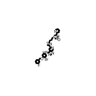 O=S(=O)=CN(CCCc1nc(-c2cc3c(Nc4ccc(OCc5cccc(F)c5)c(Br)c4)ncnc3cn2)cs1)CCc1ccccn1